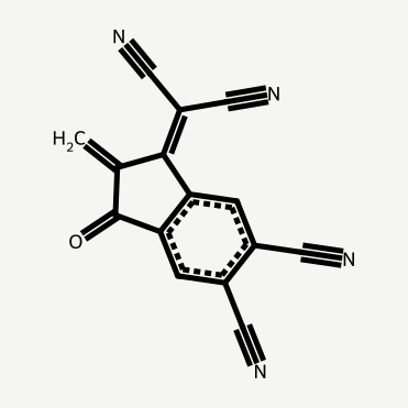 C=C1C(=O)c2cc(C#N)c(C#N)cc2C1=C(C#N)C#N